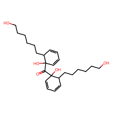 O=C(C1(O)C=CC=CC1CCCCCCO)C1(O)C=CC=CC1CCCCCCO